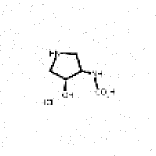 Cl.O=C(O)N[C@@H]1CNC[C@@H]1O